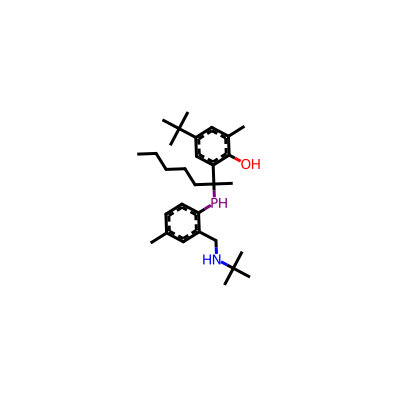 CCCCCC(C)(Pc1ccc(C)cc1CNC(C)(C)C)c1cc(C(C)(C)C)cc(C)c1O